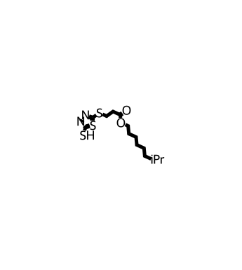 CC(C)CCCCCCOC(=O)CCSc1nnc(S)s1